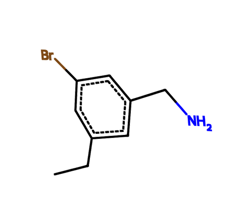 CCc1cc(Br)cc(CN)c1